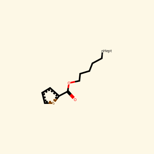 CCCCCCCCCCCCOC(=O)c1cccs1